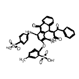 Cc1ccc(Oc2cc(Nc3ccc(S(=O)(=O)O)cc3)c3c4c(c(C(=O)c5ccccc5)c(=O)[nH]c24)-c2ccccc2C3=O)c(S(=O)(=O)O)c1